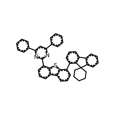 c1ccc(-c2cc(-c3ccccc3)nc(-c3cccc4c3sc3c(-c5cccc6c5C5(CCCCC5)c5ccccc5-6)cccc34)n2)cc1